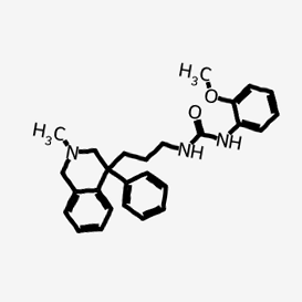 COc1ccccc1NC(=O)NCCCC1(c2ccccc2)CN(C)Cc2ccccc21